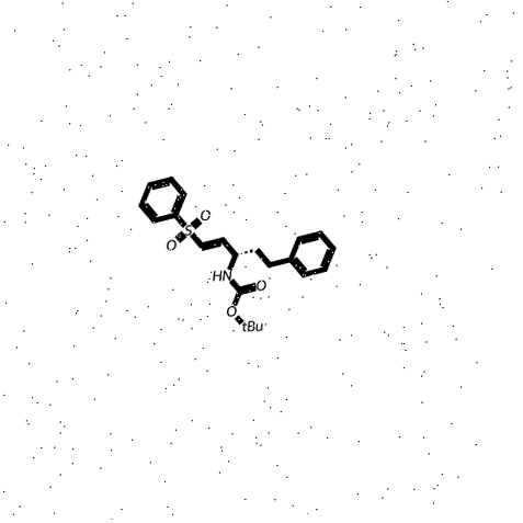 CC(C)(C)OC(=O)N[C@H](/C=C/S(=O)(=O)c1ccccc1)CCc1ccccc1